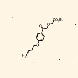 C=CCCOc1ccc(C(=O)COCC(=O)OCC)cc1